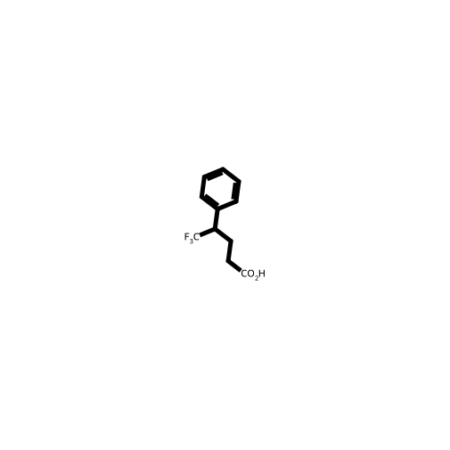 O=C(O)CCC(c1ccccc1)C(F)(F)F